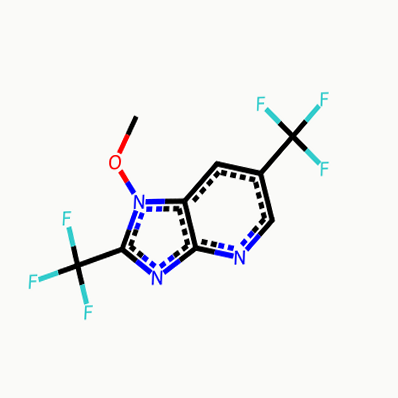 COn1c(C(F)(F)F)nc2ncc(C(F)(F)F)cc21